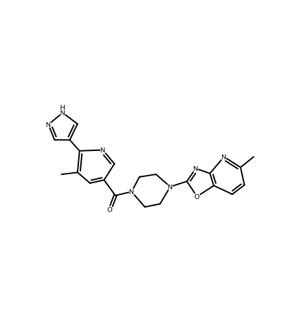 Cc1ccc2oc(N3CCN(C(=O)c4cnc(-c5cn[nH]c5)c(C)c4)CC3)nc2n1